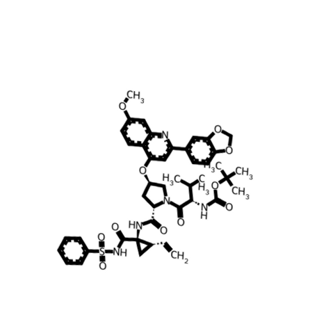 C=C[C@@H]1C[C@]1(NC(=O)[C@@H]1C[C@@H](Oc2cc(-c3ccc4c(c3)OCO4)nc3cc(OC)ccc23)CN1C(=O)[C@@H](NC(=O)OC(C)(C)C)C(C)C)C(=O)NS(=O)(=O)c1ccccc1